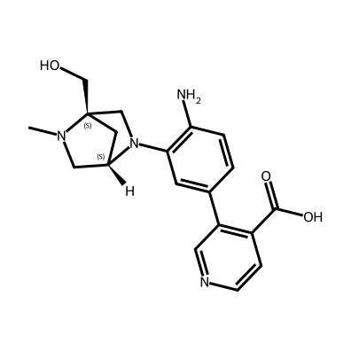 CN1C[C@@H]2C[C@@]1(CO)CN2c1cc(-c2cnccc2C(=O)O)ccc1N